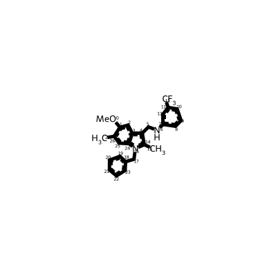 COc1cc2c(CNc3cccc(C(F)(F)F)c3)c(C)n(Cc3ccccc3)c2cc1C